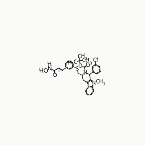 Cn1c2c(c3ccccc31)CC(CSc1cccc(/C=C/C(=O)NO)c1)N(C(=O)OC(C)(C)C)C2c1cccc(Cl)c1